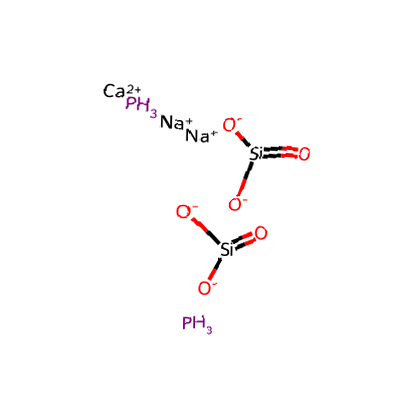 O=[Si]([O-])[O-].O=[Si]([O-])[O-].P.P.[Ca+2].[Na+].[Na+]